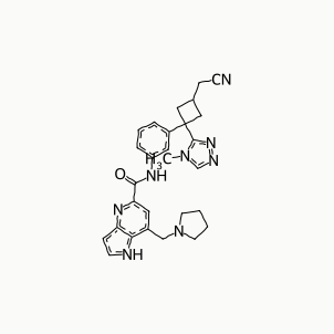 Cn1cnnc1C1(c2cccc(NC(=O)c3cc(CN4CCCC4)c4[nH]ccc4n3)c2)CC(CC#N)C1